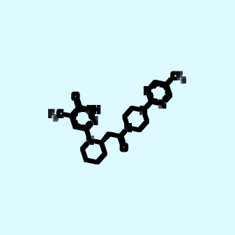 O=C(C[C@H]1CCCCN1c1cc(C(F)(F)F)c(=O)[nH]n1)N1CCN(c2ncc(C(F)(F)F)cn2)CC1